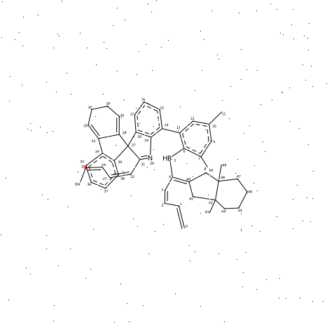 C=C/C=C\C(Bc1c(C)cc(C)cc1-c1cccc2c1N=C(/C=C\C=C/C)C21C2=CCCC=C2c2ccccc21)=C1CC2(C)CCCCC2(C)C1